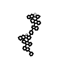 c1ccc(-c2ccc3c(-c4c5ccccc5c(-c5ccc(-c6ccc(-c7ccc(-c8c9ccccc9c(-c9cccc%10oc%11cc%12ccccc%12cc%11c9%10)c9ccccc89)c8ccccc78)cc6)c6oc7cc8ccccc8cc7c56)c5ccccc45)cccc3c2)cc1